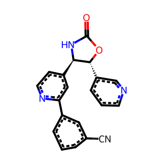 N#Cc1cccc(-c2cc([C@H]3NC(=O)O[C@@H]3c3cccnc3)ccn2)c1